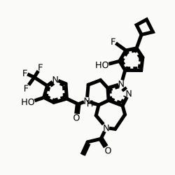 C=CC(=O)N1CCc2nn(-c3ccc(C4CCC4)c(F)c3O)c3c2[C@H](C1)N(C(=O)c1cnc(C(F)(F)F)c(O)c1)CC3